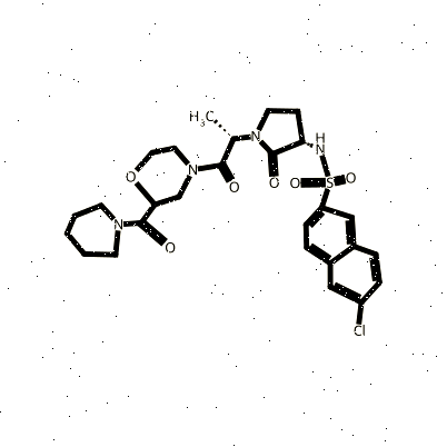 C[C@@H](C(=O)N1CCOC(C(=O)N2CCCCC2)C1)N1CC[C@H](NS(=O)(=O)c2ccc3cc(Cl)ccc3c2)C1=O